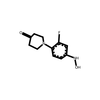 O=C1CCN(c2ccc(NO)cc2F)CC1